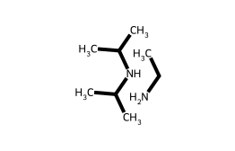 CC(C)NC(C)C.CCN